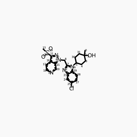 CC1(O)CCC(n2c(Cn3nc(S(C)(=O)=O)c4ccncc43)nc3cc(Cl)ccc32)CC1